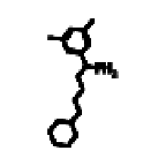 Cc1cc(C)cc(C(P)CCCC[C]2CCCCC2)c1